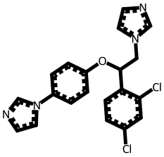 Clc1ccc(C(Cn2ccnc2)Oc2ccc(-n3ccnc3)cc2)c(Cl)c1